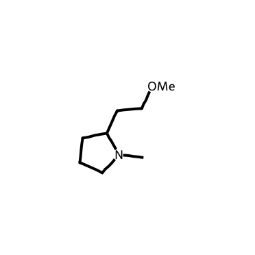 COCCC1CCCN1C